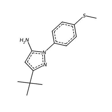 CSc1ccc(-n2nc(C(C)(C)C)cc2N)cc1